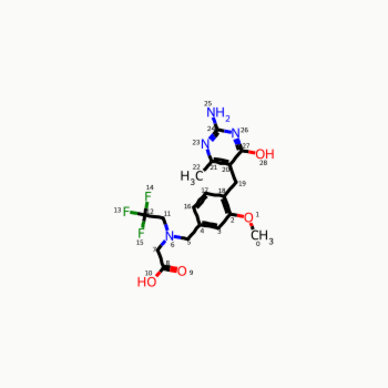 COc1cc(CN(CC(=O)O)CC(F)(F)F)ccc1Cc1c(C)nc(N)nc1O